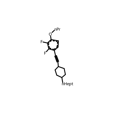 CCCCCCCC1CCC(C#Cc2ccc(OCCC)c(F)c2F)CC1